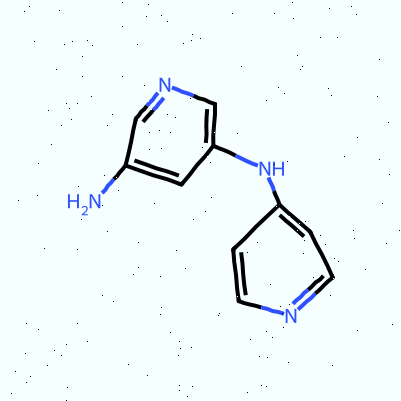 Nc1cncc(Nc2ccncc2)c1